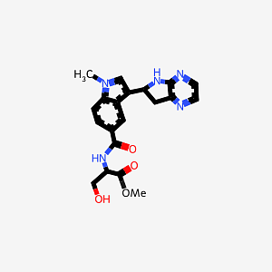 COC(=O)C(CO)NC(=O)c1ccc2c(c1)c(C1Cc3nccnc3N1)cn2C